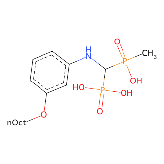 CCCCCCCCOc1cccc(NC(P(C)(=O)O)P(=O)(O)O)c1